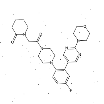 O=C(CN1CCCCC1=O)N1CCN(c2ccc(F)cc2-c2cnc(N3CCOCC3)nc2)CC1